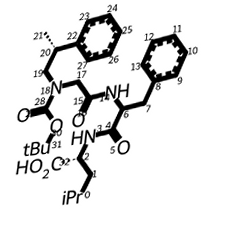 CC(C)C[C@@H](NC(=O)C(Cc1ccccc1)NC(=O)CN(C[C@H](C)c1ccccc1)C(=O)OC(C)(C)C)C(=O)O